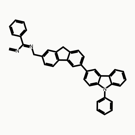 C=N/C(=N\Cc1ccc2c(c1)Cc1ccc(-c3ccc4c(c3)c3ccccc3n4-c3ccccc3)cc1-2)c1ccccc1